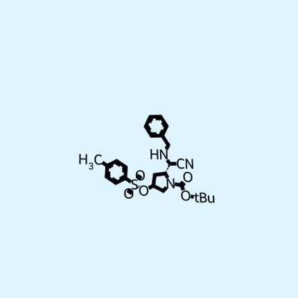 Cc1ccc(S(=O)(=O)OC2C[C@H](C(C#N)NCc3ccccc3)N(C(=O)OC(C)(C)C)C2)cc1